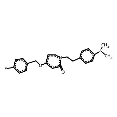 CN(C)c1ccc(CCn2ccc(OCc3ccc(F)cc3)cc2=O)cc1